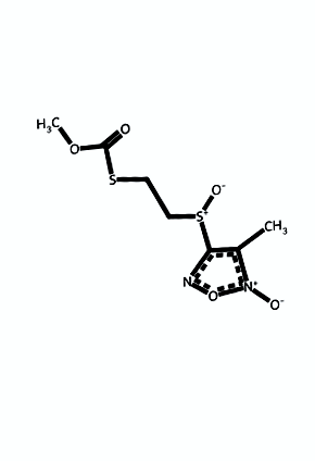 COC(=O)SCC[S+]([O-])c1no[n+]([O-])c1C